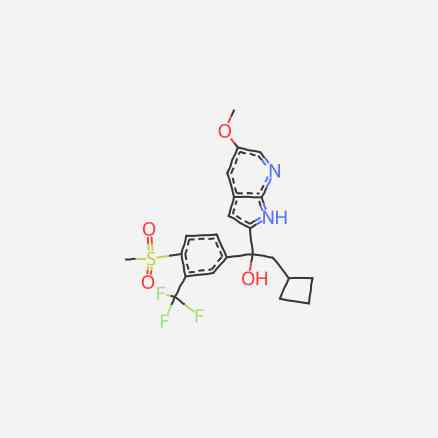 COc1cnc2[nH]c(C(O)(CC3CCC3)c3ccc(S(C)(=O)=O)c(C(F)(F)F)c3)cc2c1